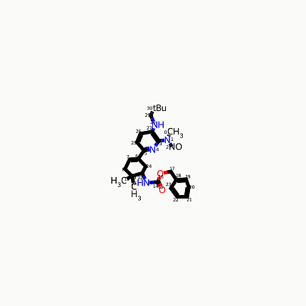 CN(N=O)c1nc(C2=CCC(C)(C)C(NC(=O)OCc3ccccc3)C2)ccc1NCC(C)(C)C